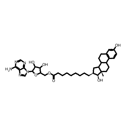 C[C@]12CCC3c4ccc(O)cc4CCC3C1C[C@H](CCCCCCCCC(=O)OCC1OC(n3cnc4c(N)ncnc43)C(O)C1O)[C@@H]2O